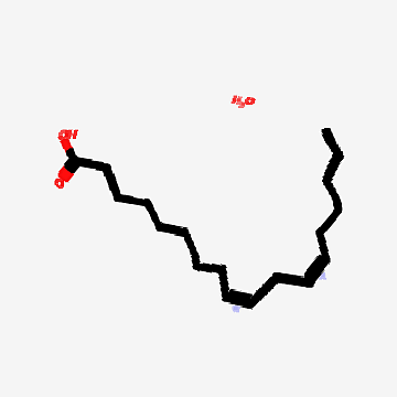 CCCCC/C=C\C/C=C\CCCCCCCC(=O)O.O